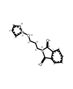 O=C1c2ccccc2C(=O)N1CCCOn1cccn1